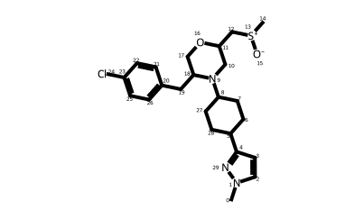 Cn1ccc(C2CCC(N3CC(C[S+](C)[O-])OCC3Cc3ccc(Cl)cc3)CC2)n1